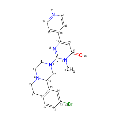 Cn1c(N2CCN3CCc4ccc(Br)cc4C3C2)nc(-c2ccncc2)cc1=O